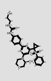 C[C@H]1COCCN1c1cc(C2(S(=O)(=O)c3ccccc3)CC2)nc(-c2ccc(NC(=O)NCCO)cc2)n1